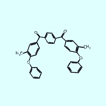 Cc1cc(C(=O)c2ccc(C(=O)c3ccc(Oc4ccccc4)c(C)c3)cc2)ccc1Oc1ccccc1